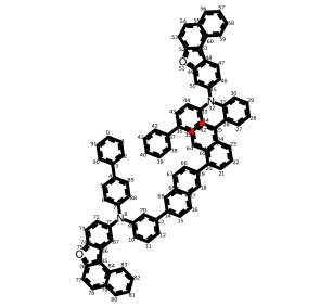 c1ccc(-c2ccc(N(c3cccc(-c4ccc5cc(-c6cccc7c(-c8ccccc8N(c8ccc(-c9ccccc9)cc8)c8ccc9c(c8)oc8ccc%10ccccc%10c89)cccc67)ccc5c4)c3)c3ccc4oc5ccc6ccccc6c5c4c3)cc2)cc1